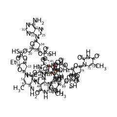 CC[C@H]1O[C@@H](n2cc(C)c(N)nc2=O)C[C@H]1OP(=O)(S)OC[C@H]1O[C@@H](n2cnc3c(N)ncnc32)C[C@H]1OP(=O)(S)OC[C@]12O[C@@H](n3cnc4c(=O)[nH]c(N)nc43)C(O[C@H]1C)[C@H]2OP(=O)(O)OC[C@]12O[C@@H](n3cc(C)c(=O)[nH]c3=O)C(O[C@H]1C)[C@H]2OP(=O)(S)OC[C@]12O[C@@H](n3cnc4c(=O)[nH]c(C)nc43)C(O[C@H]1C)[C@H]2O